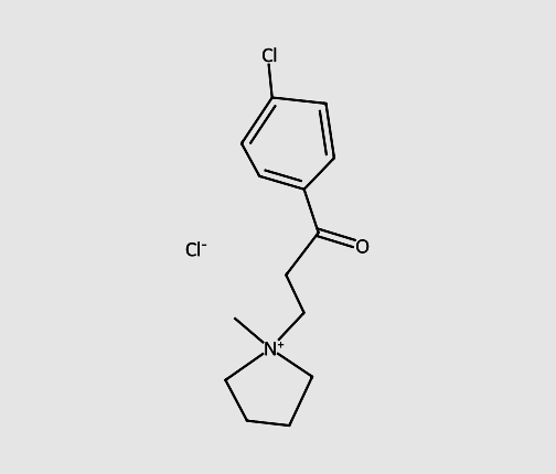 C[N+]1(CCC(=O)c2ccc(Cl)cc2)CCCC1.[Cl-]